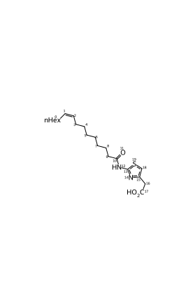 CCCCCC/C=C\CCCCCCCC(=O)Nc1nc(CC(=O)O)cs1